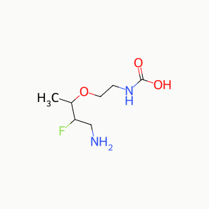 CC(OCCNC(=O)O)C(F)CN